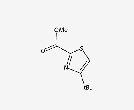 COC(=O)c1nc(C(C)(C)C)cs1